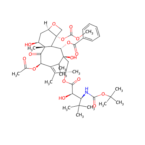 COC(=O)O[C@@]12CO[C@@H]1C[C@H](O)[C@@]1(C)C(=O)[C@H](OC(C)=O)C3=C(C)[C@](C)(OC(=O)[C@H](O)[C@@H](NC(=O)OC(C)(C)C)C(C)(C)C)C[C@@](O)([C@@H](OC(=O)c4ccccc4)C12)C3(C)C